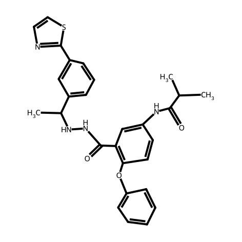 CC(C)C(=O)Nc1ccc(Oc2ccccc2)c(C(=O)NNC(C)c2cccc(-c3nccs3)c2)c1